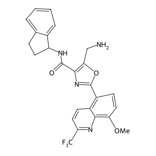 COc1ccc(-c2nc(C(=O)NC3CCc4ccccc43)c(CN)o2)c2ccc(C(F)(F)F)nc12